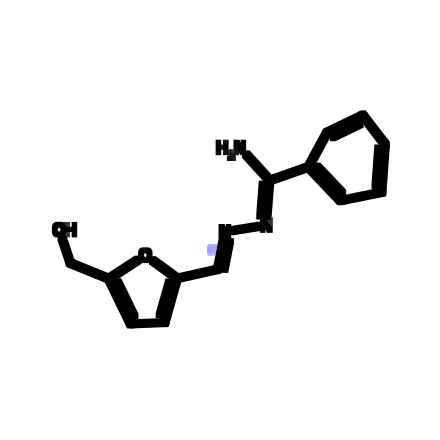 NC(=N/N=C/c1ccc(CO)o1)c1ccccc1